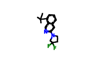 CC(C)(C)c1cccc2cc(N3CCC(F)(F)C3)ncc12